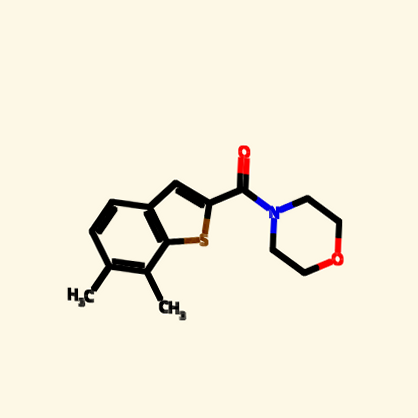 Cc1ccc2cc(C(=O)N3CCOCC3)sc2c1C